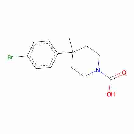 CC1(c2ccc(Br)cc2)CCN(C(=O)O)CC1